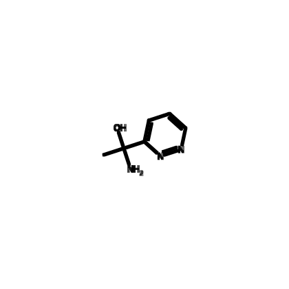 CC(N)(O)c1cccnn1